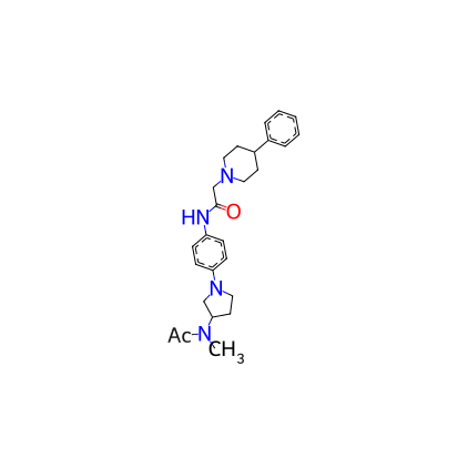 CC(=O)N(C)C1CCN(c2ccc(NC(=O)CN3CCC(c4ccccc4)CC3)cc2)C1